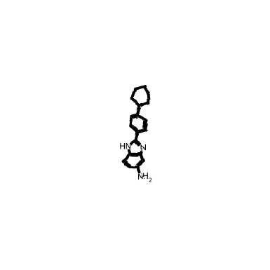 Nc1ccc2[nH]c(-c3ccc(C4CCCCC4)cc3)nc2c1